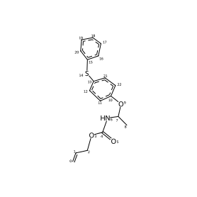 C=CCOC(=O)NC(C)Oc1ccc(Sc2ccccc2)cc1